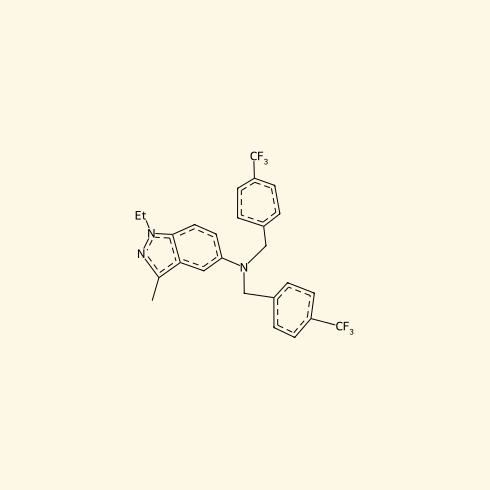 CCn1nc(C)c2cc(N(Cc3ccc(C(F)(F)F)cc3)Cc3ccc(C(F)(F)F)cc3)ccc21